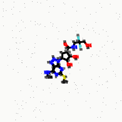 CCCCNc1nc(SCCC)nc2c1nnn2C1C[C@H](C(=O)NCC(F)(F)CO)C(O)C1O